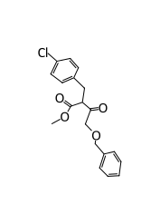 COC(=O)C(Cc1ccc(Cl)cc1)C(=O)COCc1ccccc1